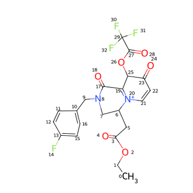 CCOC(=O)CC1CN(Cc2ccc(F)cc2)C(=O)C2=[N+]1C=CC(=O)C2OC(=O)C(F)(F)F